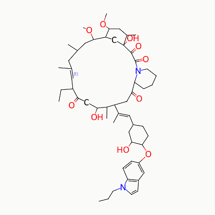 CCCn1ccc2cc(OC3CCC(C=C(C)C4CC(=O)C5CCCCN5C(=O)C(=O)C5(O)CC(C(OC)CC(C)C/C(C)=C/C(CC)C(=O)CC(O)C4C)C(OC)CC5C)CC3O)ccc21